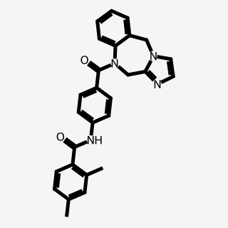 Cc1ccc(C(=O)Nc2ccc(C(=O)N3Cc4nccn4Cc4ccccc43)cc2)c(C)c1